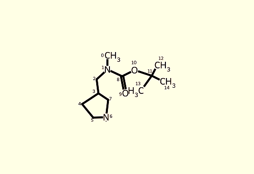 CN(CC1CC[N]C1)C(=O)OC(C)(C)C